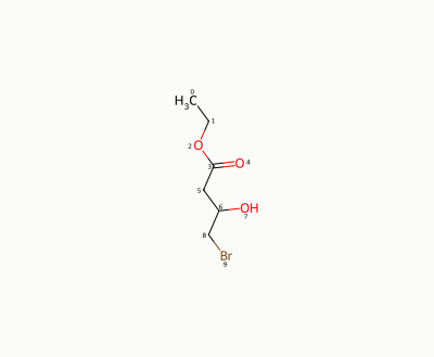 CCOC(=O)CC(O)CBr